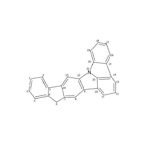 c1ccc2c(c1)Cc1cc3c4cccc5c6ccccc6n(c3cc1-2)c54